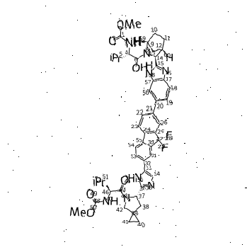 COC(=O)N[C@@H](C(C)C)C(O)N1[C@@H]2CC[C@@H](C2)[C@H]1c1nc2ccc(-c3ccc4c(c3)C(F)(F)c3cc(-c5cnc([C@@H]6CC7(CC7)CN6C(=O)[C@@H](NC(=O)OC)C(C)C)[nH]5)ccc3-4)cc2[nH]1